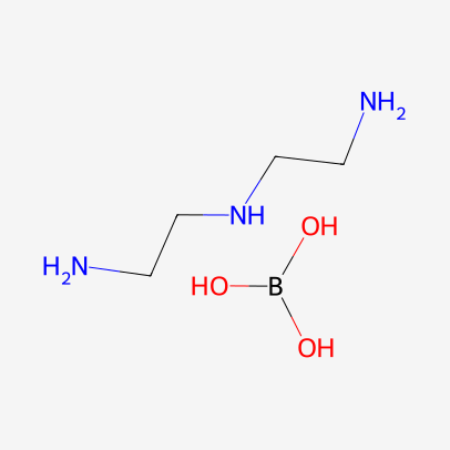 NCCNCCN.OB(O)O